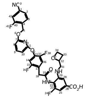 N#Cc1ccc(COc2cccc(Oc3cc(F)c(CC(=O)Nc4c(F)cc(C(=O)O)cc4NCC4CCO4)cc3F)n2)c(F)c1